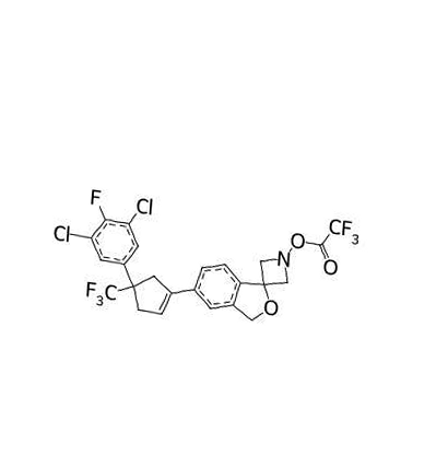 O=C(ON1CC2(C1)OCc1cc(C3=CCC(c4cc(Cl)c(F)c(Cl)c4)(C(F)(F)F)C3)ccc12)C(F)(F)F